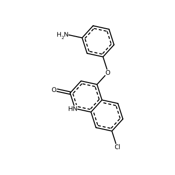 Nc1cccc(Oc2cc(=O)[nH]c3cc(Cl)ccc23)c1